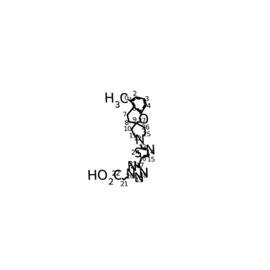 Cc1cccc2c1CCC1(CCN(c3ncc(-c4nnn(CC(=O)O)n4)s3)CC1)O2